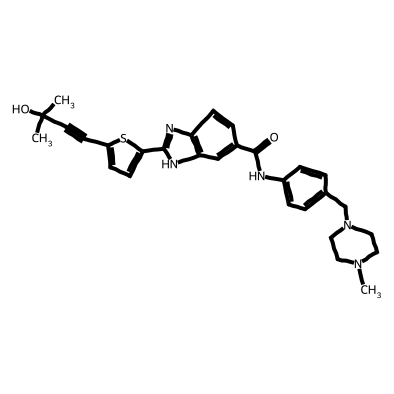 CN1CCN(Cc2ccc(NC(=O)c3ccc4nc(-c5ccc(C#CC(C)(C)O)s5)[nH]c4c3)cc2)CC1